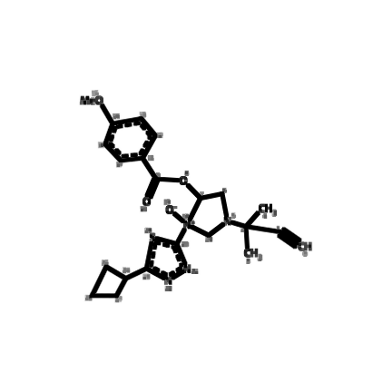 C#CC(C)(C)N1CC(OC(=O)c2ccc(OC)cc2)[N+]([O-])(c2nnc(C3CCC3)s2)C1